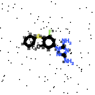 Nc1nc(N)n(-c2cc(F)c(Sc3ccccc3)c(C(F)(F)F)c2)n1